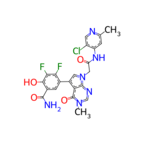 Cc1cc(NC(=O)Cn2cc(-c3cc(C(N)=O)c(O)c(F)c3F)c3c(=O)n(C)cnc32)c(Cl)cn1